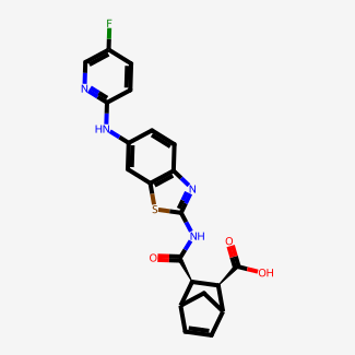 O=C(Nc1nc2ccc(Nc3ccc(F)cn3)cc2s1)[C@@H]1C2C=CC(C2)[C@@H]1C(=O)O